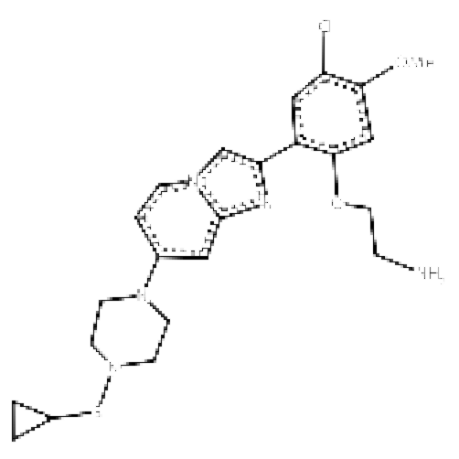 COc1cc(OCCN)c(-c2cn3ccc(N4CCN(SC5CC5)CC4)cc3n2)cc1Cl